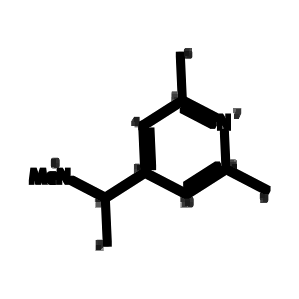 CNC(C)c1cc(C)nc(C)c1